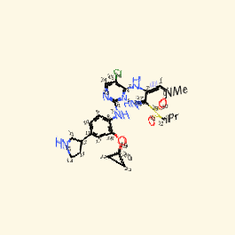 CN/C=C(/Nc1nc(Nc2ccc(C3CCNC3)cc2OC2CC2)ncc1Cl)C(=N)S(=O)(=O)C(C)C